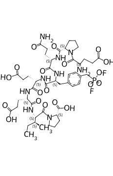 CC[C@H](C)[C@H](NC(=O)[C@H](CCC(=O)O)NC(=O)[C@H](CCC(=O)O)NC(=O)[C@H](Cc1ccc(CP(=O)(OF)OF)cc1)NC(=O)[C@H](CCC(N)=O)NC(=O)[C@@H]1CCCN1C(=O)[C@@H](N)CCC(=O)O)C(=O)N1CCC[C@H]1C(=O)O